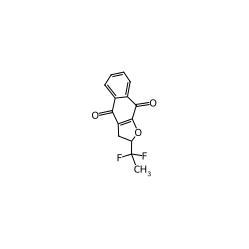 CC(F)(F)C1CC2=C(O1)C(=O)c1ccccc1C2=O